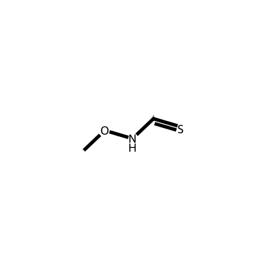 CON[C]=S